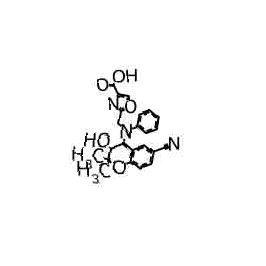 CC1(C)Oc2ccc(C#N)cc2[C@H](N(Cc2nc(C(=O)O)co2)c2ccccc2)[C@H]1O